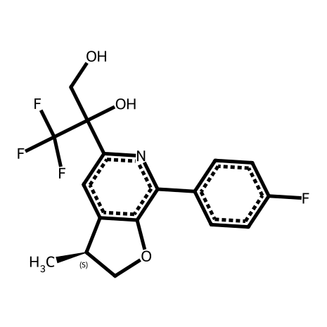 C[C@@H]1COc2c1cc(C(O)(CO)C(F)(F)F)nc2-c1ccc(F)cc1